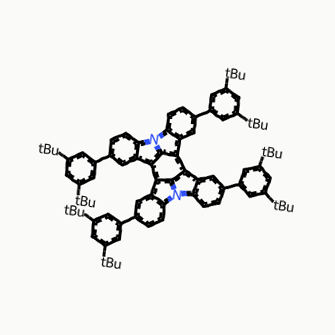 CC(C)(C)c1cc(-c2ccc3c(c2)c2c4c5cc(-c6cc(C(C)(C)C)cc(C(C)(C)C)c6)ccc5n5c6ccc(-c7cc(C(C)(C)C)cc(C(C)(C)C)c7)cc6c(c6c7cc(-c8cc(C(C)(C)C)cc(C(C)(C)C)c8)ccc7n3c26)c45)cc(C(C)(C)C)c1